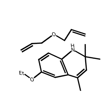 C=CCOCC=C.CCOc1ccc2c(c1)C(C)=CC(C)(C)N2